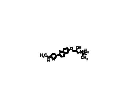 CNc1ccc(-c2ccc3cc(OCC(O)CNC(C)C)ccc3n2)cn1